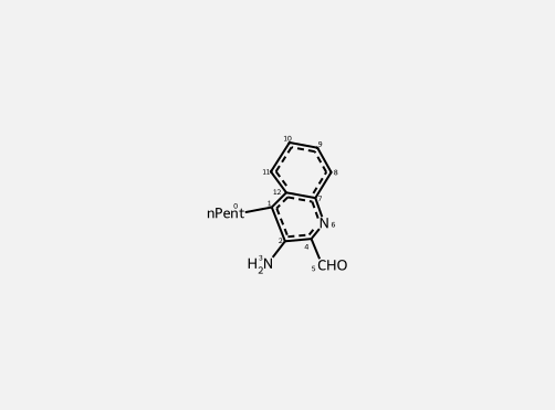 CCCCCc1c(N)c(C=O)nc2ccccc12